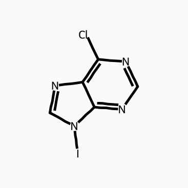 Clc1ncnc2c1ncn2I